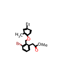 CCc1ccc(OCc2c(Br)cccc2CC(=O)OC)c(C)c1